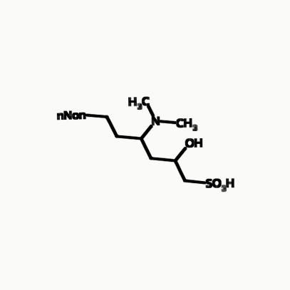 CCCCCCCCCCCC(CC(O)CS(=O)(=O)O)N(C)C